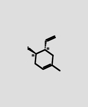 C=C[C@@H]1CC(C)=CC[C@H]1I